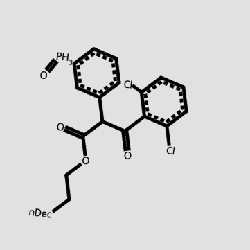 CCCCCCCCCCCCOC(=O)C(C(=O)c1c(Cl)cccc1Cl)c1ccccc1.O=[PH3]